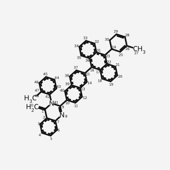 C=C1c2ccccc2N=C(c2ccc3cc(-c4c5ccccc5c(C5C=C(C)C=CC5)c5ccccc45)ccc3c2)N1c1ccccc1C